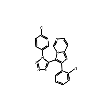 Clc1ccc(-n2nnnc2-c2c(-c3ccccc3Cl)nc3ccncn23)cc1